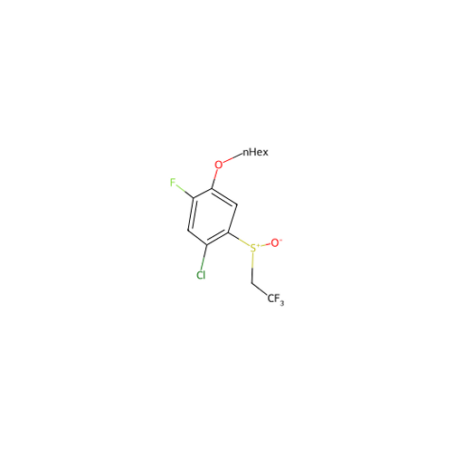 CCCCCCOc1cc([S+]([O-])CC(F)(F)F)c(Cl)cc1F